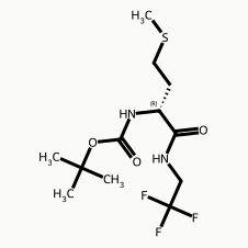 CSCC[C@@H](NC(=O)OC(C)(C)C)C(=O)NCC(F)(F)F